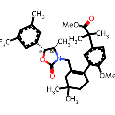 COC(=O)C(C)(C)c1ccc(OC)c(C2=C(CN3C(=O)O[C@H](c4cc(C)cc(C(F)(F)F)c4)[C@@H]3C)CC(C)(C)CC2)c1